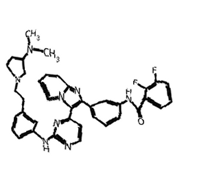 CN(C)C1CCN(CCc2cccc(Nc3nccc(-c4c(-c5cccc(NC(=O)c6cccc(F)c6F)c5)nc5ccccn45)n3)c2)C1